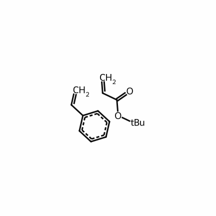 C=CC(=O)OC(C)(C)C.C=Cc1ccccc1